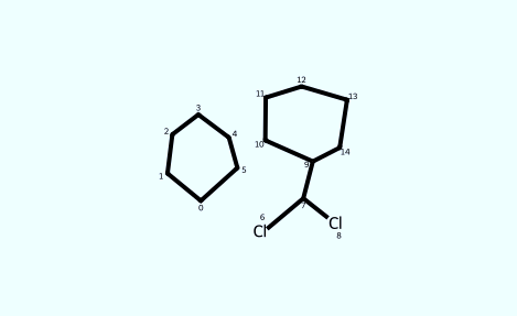 C1CCCCC1.ClC(Cl)C1CCCCC1